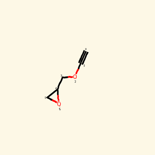 C#COCC1CO1